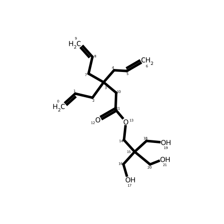 C=CCC(CC=C)(CC=C)CC(=O)OCC(CO)(CO)CO